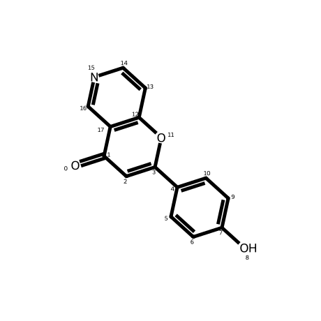 O=c1cc(-c2ccc(O)cc2)oc2ccncc12